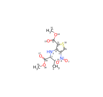 CCC(Nc1c([N+](=O)[O-])csc1C(=O)OC)C(=O)OC